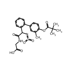 Cc1cc(-c2ccccc2C(N=S(=O)=O)C(=O)NCC(=O)O)ccc1OC(=O)C(C)(C)C